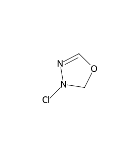 ClN1COC=N1